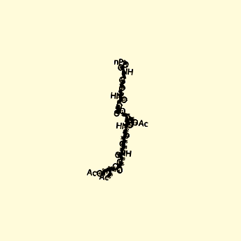 CCCOC(=O)NCCOCCOCCNC(=O)COCC(=O)OCCN(CCOC(C)=O)CC(=O)NCCOCCOCCNC(=O)COCC(=O)OCCN(CCOC(C)=O)CC(C)=O